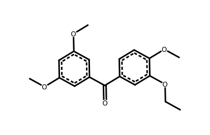 CCOc1cc(C(=O)c2cc(OC)cc(OC)c2)ccc1OC